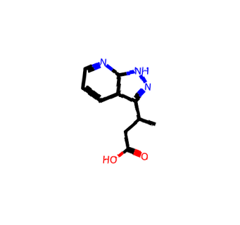 CC(CC(=O)O)C1=NNC2N=CC=CC12